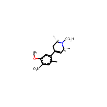 Cc1cc([N+](=O)[O-])c(OC(C)C)cc1C1=C[C@@H](C)N(C(=O)O)[C@@H](C)C1